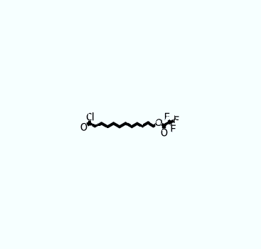 O=C(Cl)CCCCCCCCCCCOC(=O)C(F)(F)F